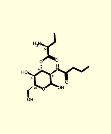 CCCC(=O)N[C@H]1C(O)O[C@H](CO)[C@@H](O)[C@@H]1OC(=O)[C@@H](N)CC